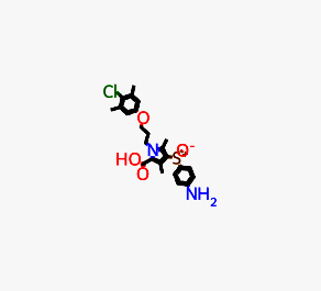 Cc1cc(OCCCn2c(C)c([S+]([O-])c3ccc(N)cc3)c(C)c2C(=O)O)cc(C)c1Cl